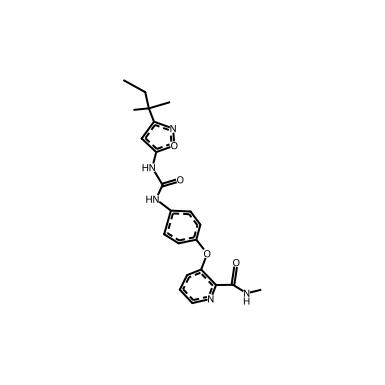 CCC(C)(C)c1cc(NC(=O)Nc2ccc(Oc3cccnc3C(=O)NC)cc2)on1